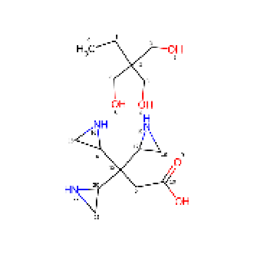 CCC(CO)(CO)CO.O=C(O)CC(C1CN1)(C1CN1)C1CN1